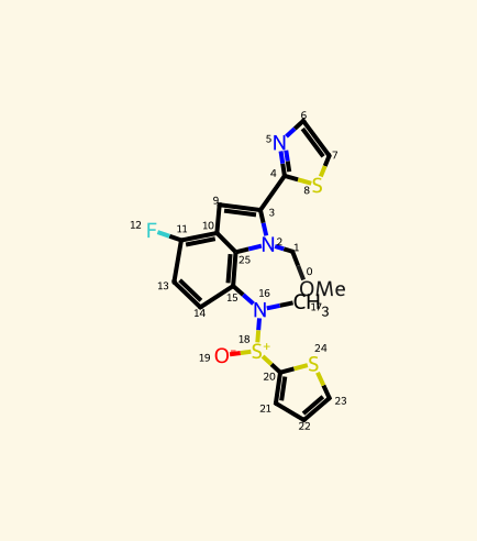 COCn1c(-c2nccs2)cc2c(F)ccc(N(C)[S+]([O-])c3cccs3)c21